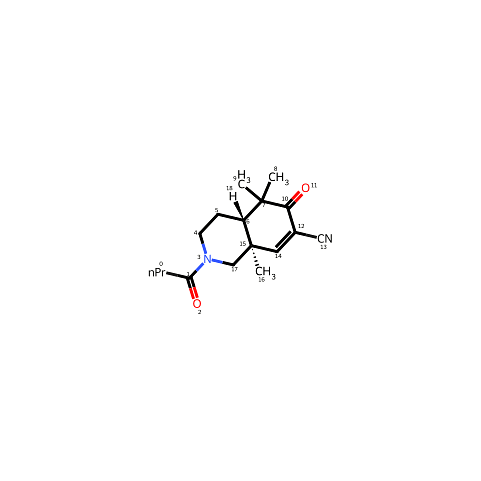 CCCC(=O)N1CC[C@@H]2C(C)(C)C(=O)C(C#N)=C[C@@]2(C)C1